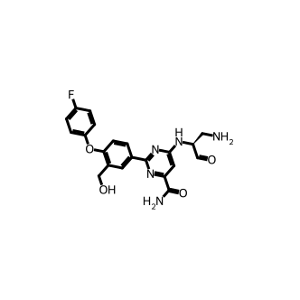 NC[C@@H](C=O)Nc1cc(C(N)=O)nc(-c2ccc(Oc3ccc(F)cc3)c(CO)c2)n1